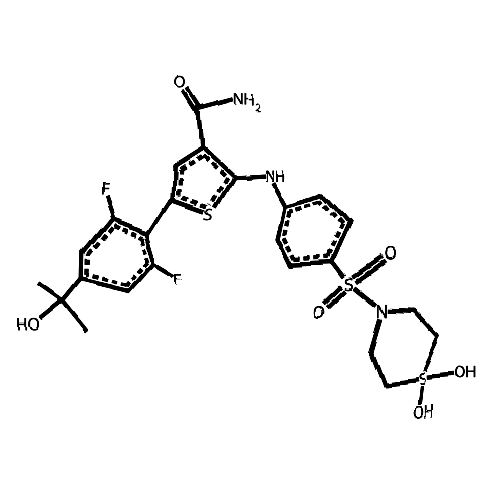 CC(C)(O)c1cc(F)c(-c2cc(C(N)=O)c(Nc3ccc(S(=O)(=O)N4CCS(O)(O)CC4)cc3)s2)c(F)c1